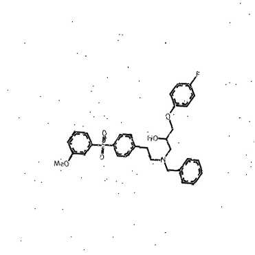 COc1cccc(S(=O)(=O)c2ccc(CCN(Cc3ccccc3)CC(O)COc3ccc(F)cc3)cc2)c1